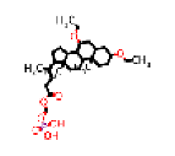 CCOC1CCC2(C)C(C1)CC(OCC)C1C2CCC2(C)C(C(C)CCC(=O)OCOP(=O)(O)O)CCC12